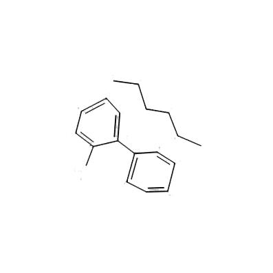 CCCCCC.Oc1ccccc1-c1ccccc1